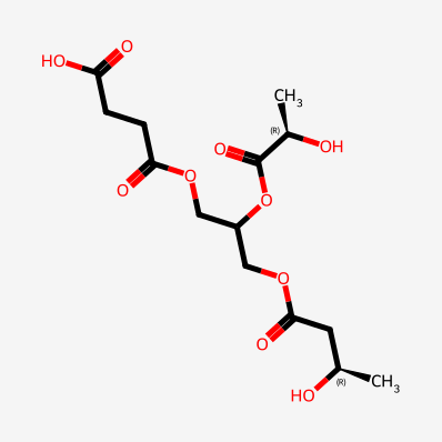 C[C@@H](O)CC(=O)OCC(COC(=O)CCC(=O)O)OC(=O)[C@@H](C)O